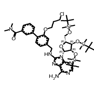 CN(C)C(=O)c1cccc(-c2ccc(CNc3nc4c(N)ncnc4n3[C@@H]3O[C@H](CO[Si](C)(C)C(C)(C)C)[C@@H](O[Si](C)(C)C(C)(C)C)[C@H]3O[Si](C)(C)C(C)(C)C)cc2OCCCCl)c1